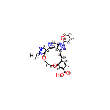 Cn1ncc2c1OCCCOc1cc(C(=O)O)ccc1/C=C/c1nn(C3CCCCO3)c3cnc-2cc13